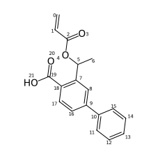 C=CC(=O)OC(C)c1cc(-c2ccccc2)ccc1C(=O)O